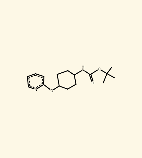 CC(C)(C)OC(=O)NC1CCC(Oc2ccccn2)CC1